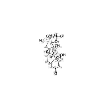 CC(=O)O[C@]1(C(=O)S)[C@@H](C)C[C@H]2[C@@H]3CCC4=CC(=O)C=C[C@]4(C)[C@@]3(F)[C@@H](O)C[C@@]21C